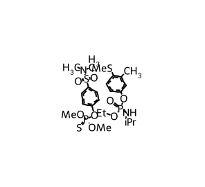 CCOP(=O)(NC(C)C)Oc1ccc(SC)c(C)c1.COP(=S)(OC)Oc1ccc(S(=O)(=O)N(C)C)cc1